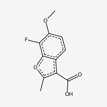 COc1ccc2c(C(=O)O)c(C)oc2c1F